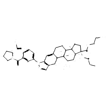 CCC(=O)O[C@]1(C(=O)SCCO)CC[C@H]2[C@@H]3CCC4=Cc5c(cnn5-c5cccc(C(=O)N6CCC[C@@H]6C(N)=O)c5)C[C@]4(C)[C@@]3(F)[C@@H](O)C[C@@]21C